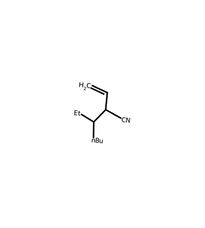 C=CC(C#N)C(CC)CCCC